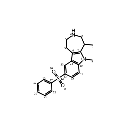 CC1CNCCc2c1n(C)c1ccc(S(=O)(=O)c3ccccc3)cc21